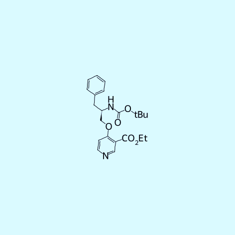 CCOC(=O)c1cnccc1OC[C@@H](Cc1ccccc1)NC(=O)OC(C)(C)C